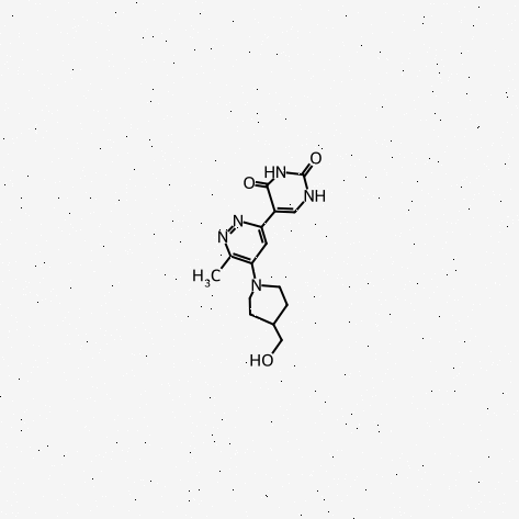 Cc1nnc(-c2c[nH]c(=O)[nH]c2=O)cc1N1CCC(CO)CC1